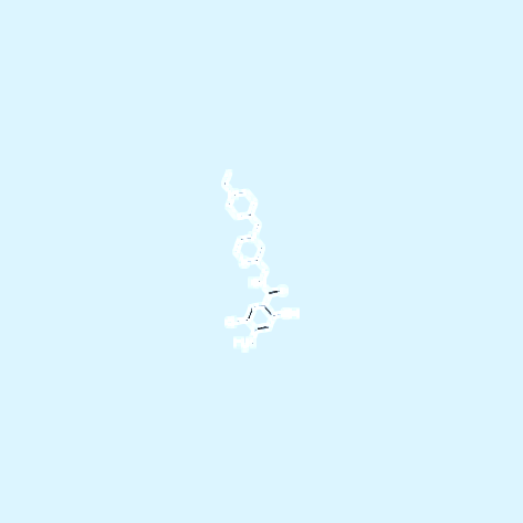 CCN1CCC(CN2CCOC(CNC(=O)c3cc(Cl)c(N)cc3O)C2)CC1